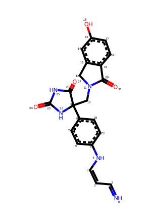 N=C/C=C\Nc1ccc(C2(CN3Cc4cc(O)ccc4C3=O)NC(=O)NC2=O)cc1